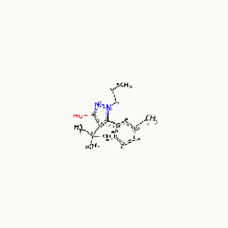 CCCn1nc(O)c(C(C)(C)C)c1-c1cccc(C)c1